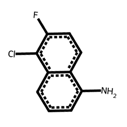 Nc1cccc2c(Cl)c(F)ccc12